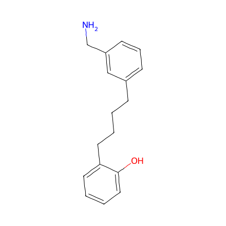 NCc1cccc(CCCCc2ccccc2O)c1